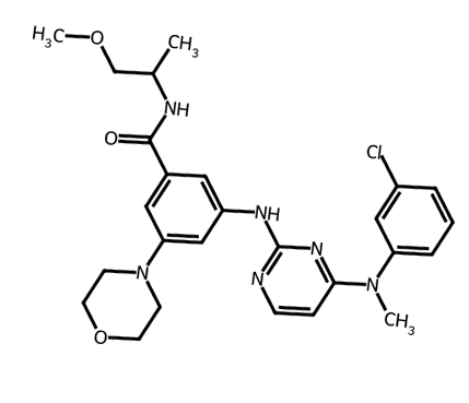 COCC(C)NC(=O)c1cc(Nc2nccc(N(C)c3cccc(Cl)c3)n2)cc(N2CCOCC2)c1